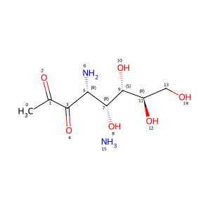 CC(=O)C(=O)[C@H](N)[C@@H](O)[C@H](O)[C@H](O)CO.N